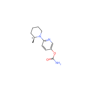 C[C@H]1CCCCN1c1ccc(OC(N)=O)cn1